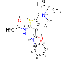 CC(=O)Nc1sc2c(c1-c1nc3ccccc3o1)CCN(C(C)C)C2